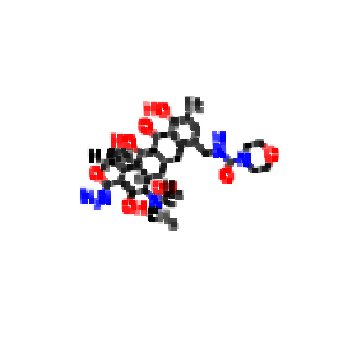 C=C1C(C(N)=O)=C(O)C(N(C)C)[C@]2(O)CC3Cc4c(CNC(=O)N5CCOCC5)cc(CC)c(O)c4C(=O)C3=C(O)[C@]12N=O